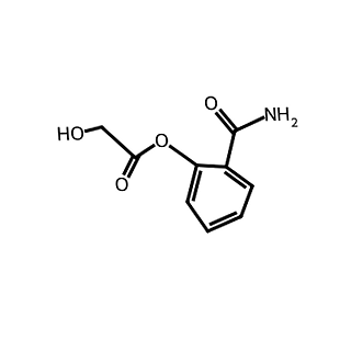 NC(=O)c1ccccc1OC(=O)CO